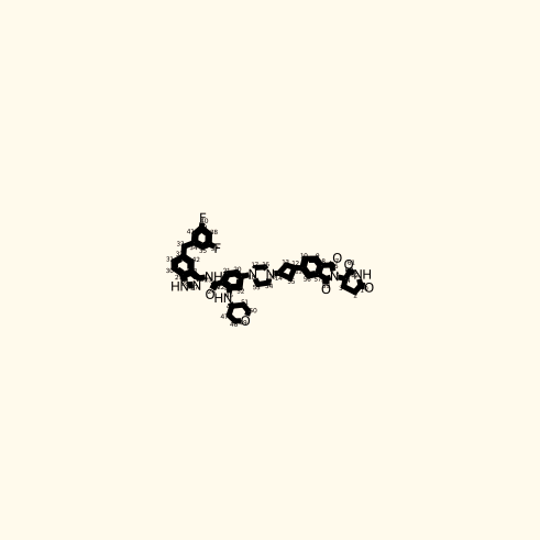 O=C1CCC(N2C(=O)c3ccc(C4CC(N5CCN(c6ccc(C(=O)Nc7n[nH]c8ccc(Cc9cc(F)cc(F)c9)cc78)c(NC7CCOCC7)c6)CC5)C4)cc3C2=O)C(=O)N1